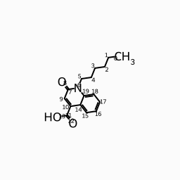 CCCCCCn1c(=O)cc(C(=O)O)c2ccccc21